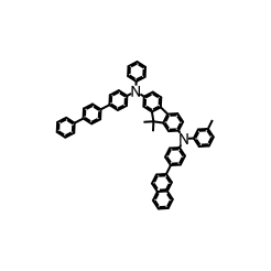 Cc1cccc(N(c2ccc(-c3ccc4ccccc4c3)cc2)c2ccc3c(c2)C(C)(C)c2cc(N(c4ccccc4)c4ccc(-c5ccc(-c6ccccc6)cc5)cc4)ccc2-3)c1